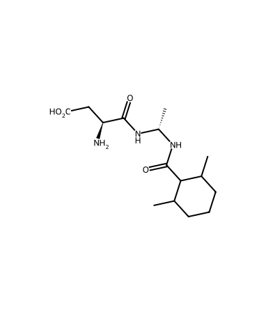 CC1CCCC(C)C1C(=O)N[C@@H](C)NC(=O)[C@@H](N)CC(=O)O